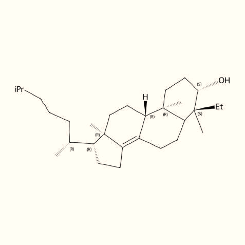 CC[C@@]1(C)C2CCC3=C4CC[C@H]([C@H](C)CCCC(C)C)[C@@]4(C)CC[C@@H]3[C@@]2(C)CC[C@@H]1O